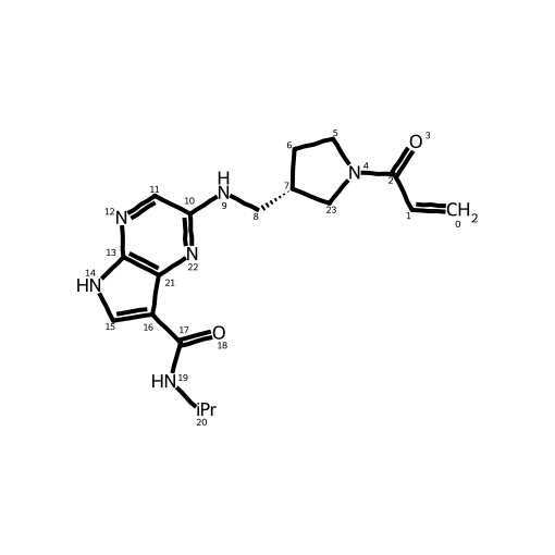 C=CC(=O)N1CC[C@@H](CNc2cnc3[nH]cc(C(=O)NC(C)C)c3n2)C1